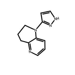 c1cnc2c(c1)N(c1cc[nH]n1)CCC2